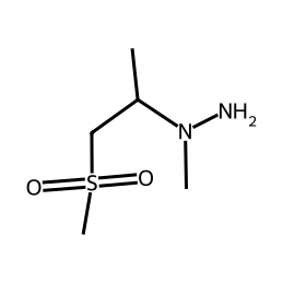 CC(CS(C)(=O)=O)N(C)N